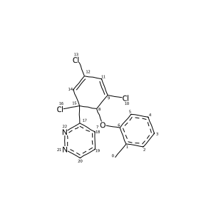 Cc1ccccc1OC1C(Cl)=CC(Cl)=CC1(Cl)c1cccnn1